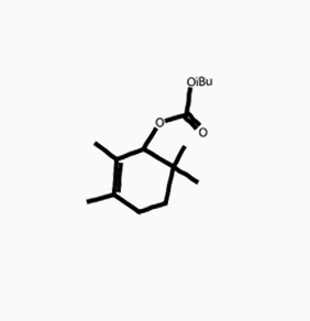 CC1=C(C)C(OC(=O)OCC(C)C)C(C)(C)CC1